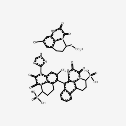 O=C(O)OC1CCc2cc(Cl)cc3[nH]c(=O)c(=O)n1c23.O=c1[nH]c2c(-c3c(C(F)(F)F)cc4c5c3CCC(P(=O)(O)O)n5c(=O)c(=O)n4-c3nc[nH]n3)c3ccccc3c3c2n(c1=O)C(P(=O)(O)O)CC3